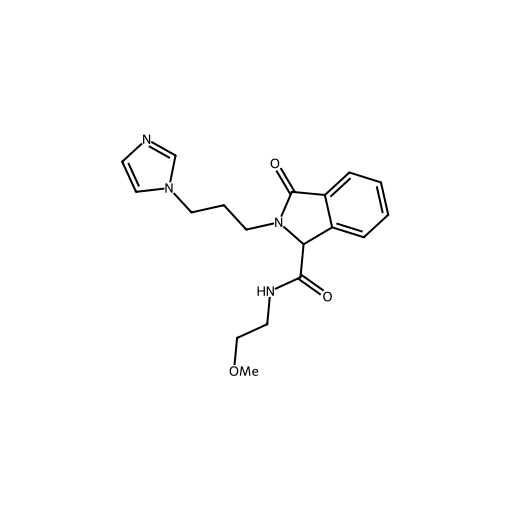 COCCNC(=O)C1c2ccccc2C(=O)N1CCCn1ccnc1